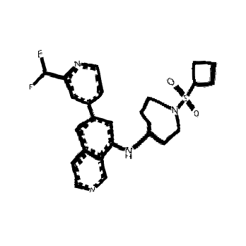 O=S(=O)(C1CCC1)N1CCC(Nc2cc(-c3ccnc(C(F)F)c3)cc3ccncc23)CC1